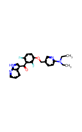 CCN(CC)c1ccc(COc2ccc(F)c(C(=O)c3c[nH]c4ncccc34)c2F)cn1